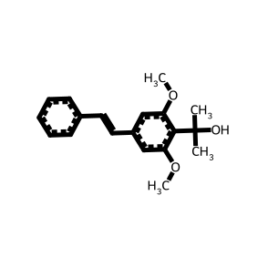 COc1cc(/C=C/c2ccccc2)cc(OC)c1C(C)(C)O